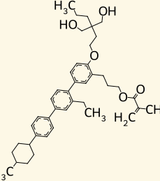 C=C(C)C(=O)OCCCc1cc(-c2ccc(-c3ccc(C4CCC(C)CC4)cc3)cc2CC)ccc1OCCC(CO)(CO)CCC